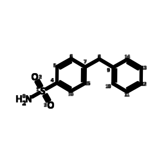 NS(=O)(=O)c1ccc(Cc2ccccc2)cc1